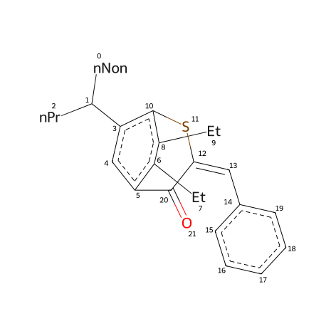 CCCCCCCCCC(CCC)c1cc2c(CC)c(CC)c1SC(=Cc1ccccc1)C2=O